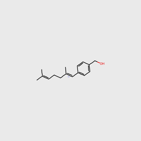 CC(C)=CCC/C(C)=C/c1ccc(CO)cc1